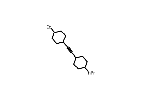 CCCC1CCC(C#CC2CCC(CC)CC2)CC1